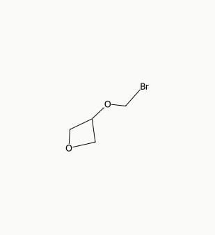 BrCOC1COC1